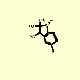 CC1(C)C(O)c2cc(Br)ccc2[S+]1[O-]